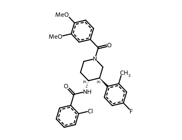 COc1ccc(C(=O)N2CC[C@@H](NC(=O)c3ccccc3Cl)[C@H](c3ccc(F)cc3C)C2)cc1OC